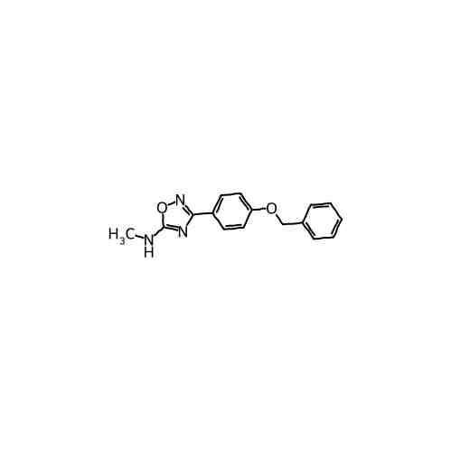 CNc1nc(-c2ccc(OCc3ccccc3)cc2)no1